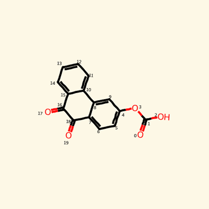 O=C(O)Oc1ccc2c(c1)-c1ccccc1C(=O)C2=O